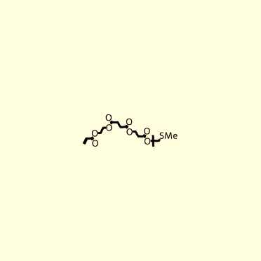 C=CC(=O)OCCOC(=O)CCC(=O)OCCC(=O)OC(C)(C)CSC